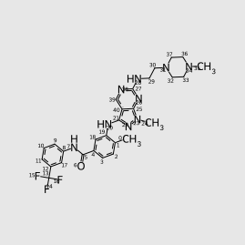 Cc1ccc(C(=O)Nc2cccc(C(F)(F)F)c2)cc1Nc1nn(C)c2nc(NCCN3CCN(C)CC3)ncc12